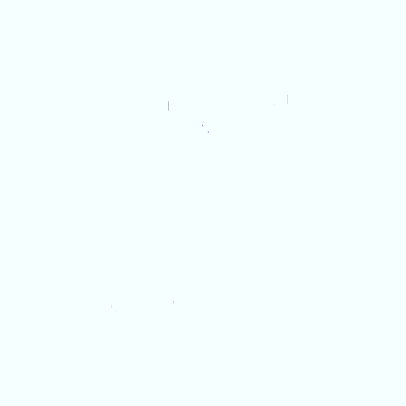 CCCN(C)C1CC[C@@H](c2ccc(Cl)c(Cl)c2)c2ccccc21